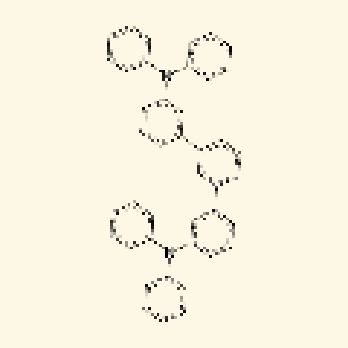 c1ccc(N(c2ccccc2)c2cccc(-c3cccc(-c4cccc(N(c5ccccc5)c5ccccc5)c4)c3)c2)cc1